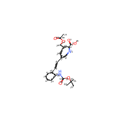 COC(=O)c1ncc(C#Cc2ccccc2NC(=O)OC(C)(C)C)cc1COC(C)=O